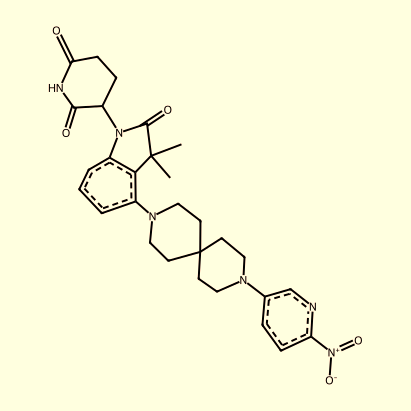 CC1(C)C(=O)N(C2CCC(=O)NC2=O)c2cccc(N3CCC4(CCN(c5ccc([N+](=O)[O-])nc5)CC4)CC3)c21